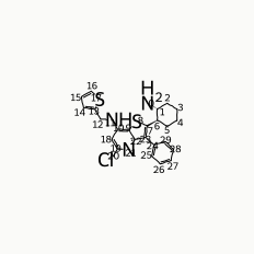 N[C@@H]1CCCC[C@H]1c1sc2c(NCc3cccs3)cc(Cl)nc2c1-c1ccccc1